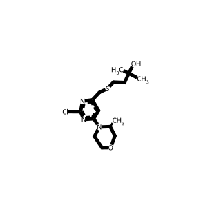 C[C@H]1COCCN1c1cc(CSCCC(C)(C)O)nc(Cl)n1